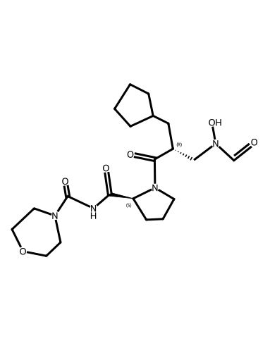 O=CN(O)C[C@@H](CC1CCCC1)C(=O)N1CCC[C@H]1C(=O)NC(=O)N1CCOCC1